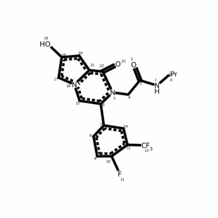 CC(C)NC(=O)Cn1c(-c2ccc(F)c(C(F)(F)F)c2)cn2cc(O)cc2c1=O